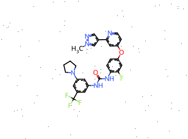 Cn1cc(-c2cc(Oc3ccc(NC(=O)Nc4cc(N5CCCC5)cc(C(F)(F)F)c4)c(F)c3)ccn2)cn1